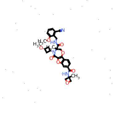 COc1cccc(C#N)c1CNC(=O)C1(C)COc2c(oc3cc(C(=O)NC4(C)COC4)ccc23)C(=O)N1[C@H]1C[C@@H](OC)C1